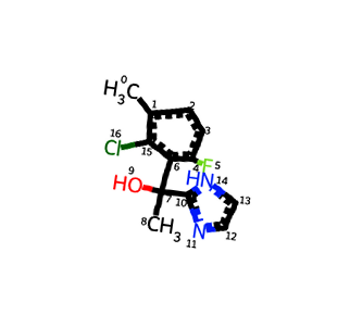 Cc1ccc(F)c(C(C)(O)c2ncc[nH]2)c1Cl